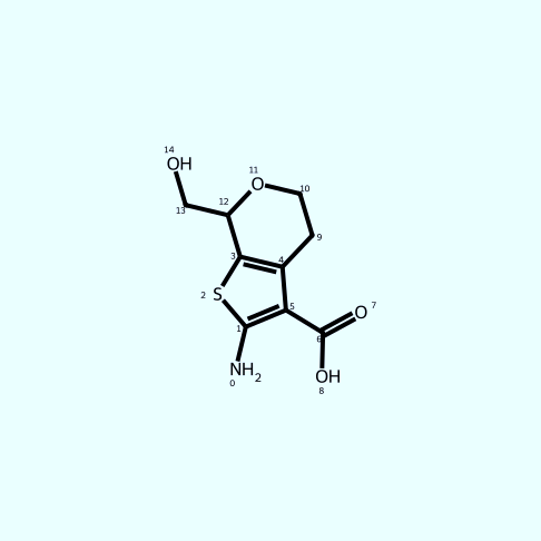 Nc1sc2c(c1C(=O)O)CCOC2CO